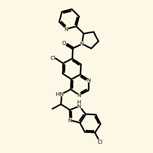 CC(Nc1ncnc2cc(C(=O)N3CCCC3c3ccccn3)c(Cl)cc12)c1nc2cc(Cl)ccc2[nH]1